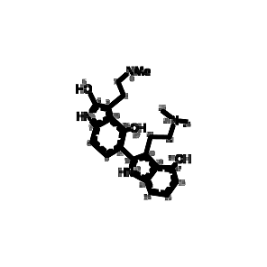 CNCCc1c(O)[nH]c2ccc(-c3[nH]c4cccc(O)c4c3CCN(C)C)c(O)c12